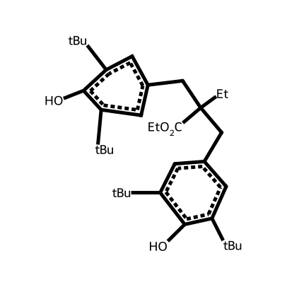 CCOC(=O)C(CC)(Cc1cc(C(C)(C)C)c(O)c(C(C)(C)C)c1)Cc1cc(C(C)(C)C)c(O)c(C(C)(C)C)c1